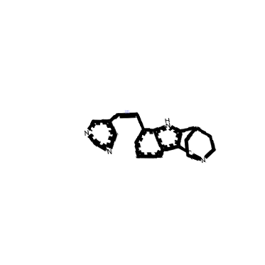 C(=C/c1cccc2c3c([nH]c12)C1CCN(CC1)C3)/c1cncnc1